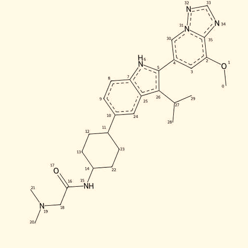 COc1cc(-c2[nH]c3ccc(C4CCC(NC(=O)CN(C)C)CC4)cc3c2C(C)C)cn2ncnc12